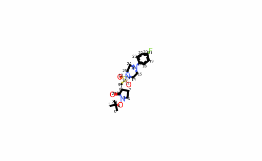 CC(C)(C)ON1CC[C@@H](CS(=O)(=O)N2CCN(c3ccc(F)cc3)CC2)C1=O